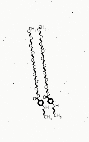 CCCCNc1ccc(C(=O)OCCOCCOCCOCCOCCOCCOCCOCCOCCOC)cc1.CCCCNc1ccc(C(=O)OCCOCCOCCOCCOCCOCCOCCOCCOCCOC)cc1